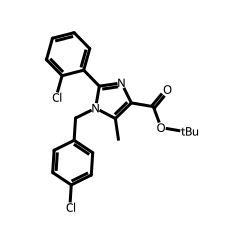 Cc1c(C(=O)OC(C)(C)C)nc(-c2ccccc2Cl)n1Cc1ccc(Cl)cc1